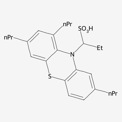 CCCc1cc(CCC)c2c(c1)Sc1ccc(CCC)cc1N2C(CC)S(=O)(=O)O